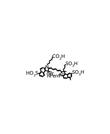 CCCCC[N+]1=C(/C=C/C=C/C=C2/N(CCCCCC(=O)O)c3ccc4c(S(=O)(=O)O)cccc4c3C2(C)CCC)C(C)(CCCS(=O)(=O)O)c2c1ccc1c(C)cc(S(=O)(=O)O)cc21